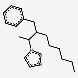 CCCCCCC(Cc1ccccc1)C(C)n1ccnc1